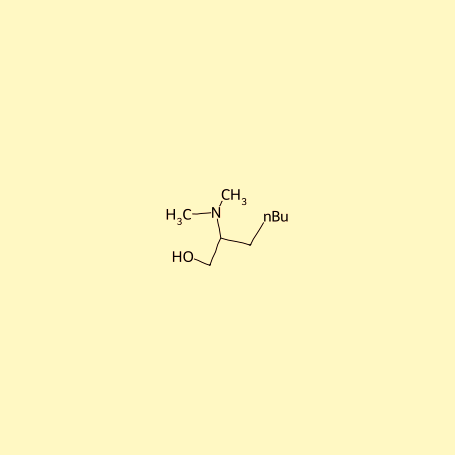 CCCCCC(CO)N(C)C